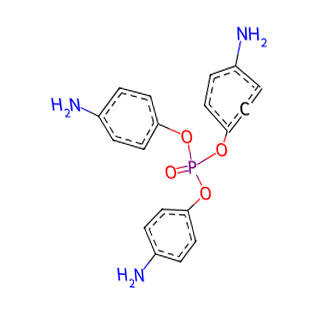 Nc1ccc(OP(=O)(Oc2ccc(N)cc2)Oc2ccc(N)cc2)cc1